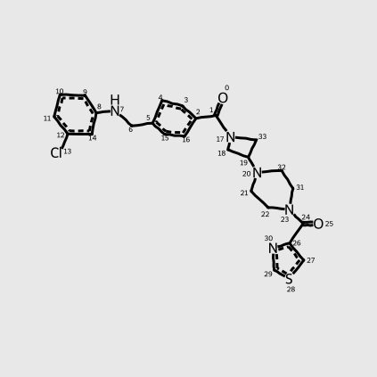 O=C(c1ccc(CNc2cccc(Cl)c2)cc1)N1CC(N2CCN(C(=O)c3cscn3)CC2)C1